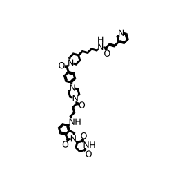 O=C(/C=C/c1cccnc1)NCCCCC1CCN(C(=O)c2ccc(N3CCN(C(=O)CCCNc4cccc5c4CN(C4CCC(=O)NC4=O)C5=O)CC3)cc2)CC1